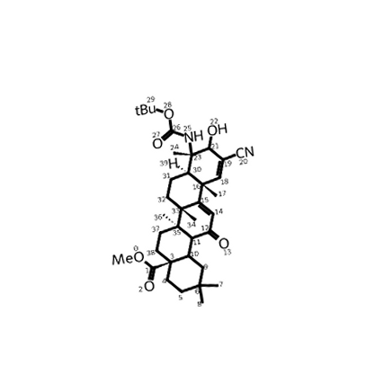 COC(=O)[C@]12CCC(C)(C)CC1C1C(=O)C=C3[C@@]4(C)C=C(C#N)C(O)[C@@](C)(NC(=O)OC(C)(C)C)[C@@H]4CC[C@@]3(C)[C@]1(C)CC2